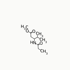 CCC(=O)NC(CC(=O)OC)C(C)C